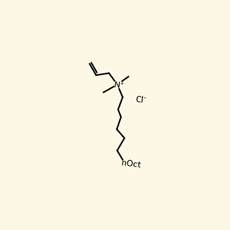 C=CC[N+](C)(C)CCCCCCCCCCCCCC.[Cl-]